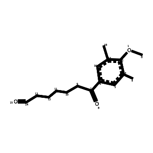 COc1c(C)cc(C(=O)CCCCCC=O)cc1C